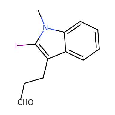 Cn1c(I)c(CCC=O)c2ccccc21